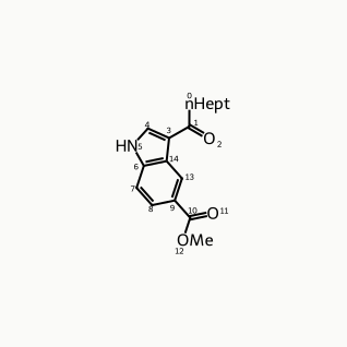 CCCCCCCC(=O)c1c[nH]c2ccc(C(=O)OC)cc12